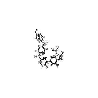 CCN1CC2CCC1CN2[C@@H](C)c1ccc(Nc2ncc(F)c(-c3cc(F)c4nc(C)n(C(C)C)c4c3)n2)nc1